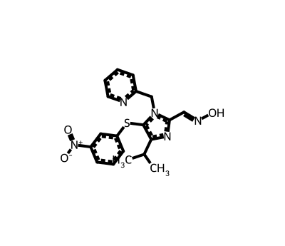 CC(C)c1nc(C=NO)n(Cc2ccccn2)c1Sc1cccc([N+](=O)[O-])c1